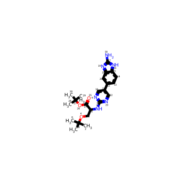 CC(C)(C)OCC(Nc1ncc(-c2ccc3[nH]c(N)nc3c2)cn1)C(=O)OC(C)(C)C